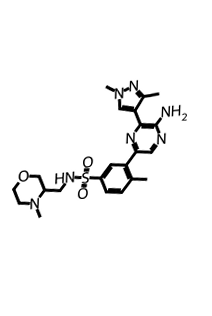 Cc1ccc(S(=O)(=O)NCC2COCCN2C)cc1-c1cnc(N)c(-c2cn(C)nc2C)n1